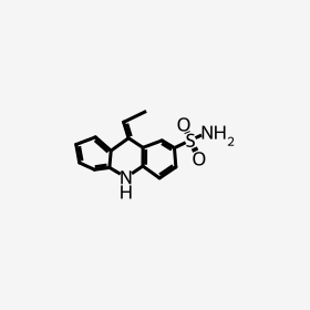 CC=C1c2ccccc2Nc2ccc(S(N)(=O)=O)cc21